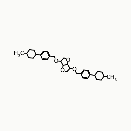 CC1CCC(c2ccc(COC3COC4C(OCc5ccc(C6CCC(C)CC6)cc5)COC34)cc2)CC1